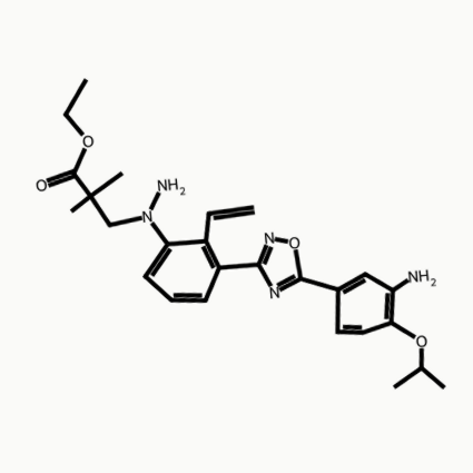 C=Cc1c(-c2noc(-c3ccc(OC(C)C)c(N)c3)n2)cccc1N(N)CC(C)(C)C(=O)OCC